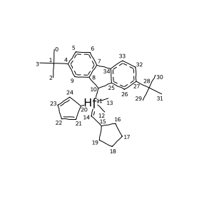 CC(C)(C)c1ccc2c(c1)[CH]([Hf]([CH3])([CH3])(=[CH]C1CCCC1)[CH]1C=CC=C1)c1cc(C(C)(C)C)ccc1-2